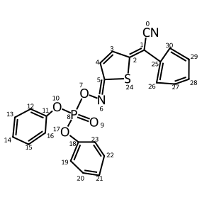 N#C/C(=C1C=C/C(=N\OP(=O)(Oc2ccccc2)Oc2ccccc2)S\1)c1ccccc1